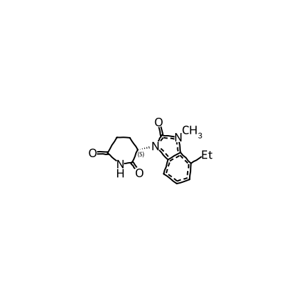 CCc1cccc2c1n(C)c(=O)n2[C@H]1CCC(=O)NC1=O